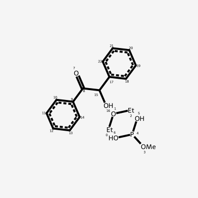 CCOCC.COP(O)O.O=C(c1ccccc1)C(O)c1ccccc1